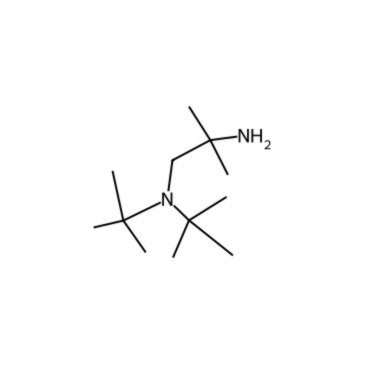 CC(C)(N)CN(C(C)(C)C)C(C)(C)C